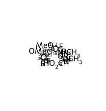 COc1cc(F)c(-n2oc3c(C(=O)O)nn(C)c3n(C)o2)cc1OCc1c(OC)ccc(F)c1F